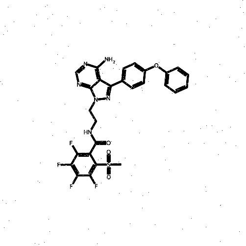 CS(=O)(=O)c1c(F)c(F)c(F)c(F)c1C(=O)NCCn1nc(-c2ccc(Oc3ccccc3)cc2)c2c(N)ncnc21